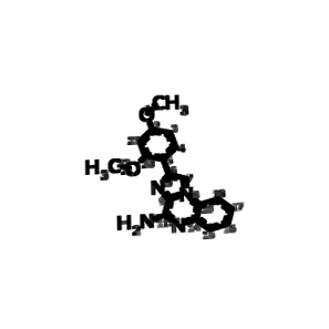 COc1ccc(-c2cn3c(n2)c(N)nc2ccccc23)c(OC)c1